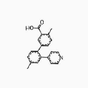 Cc1ccc(-c2ccc(C)c(C(=O)O)c2)c(-c2ccncc2)c1